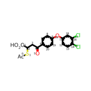 CC(=O)SC(CC(=O)c1ccc(Oc2ccc(Cl)c(Cl)c2)cc1)C(=O)O